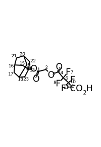 O=C(COC(=O)C(F)(F)C(F)(F)C(=O)O)OC12CC3CC(CC(C3)C1)C2